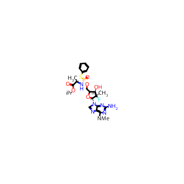 CNc1nc(N)nc2c1ncn2[C@@H]1OC(COP(=O)(N[C@@H](C)C(=O)OC(C)C)Sc2ccccc2)[C@@H](O)[C@@]1(C)F